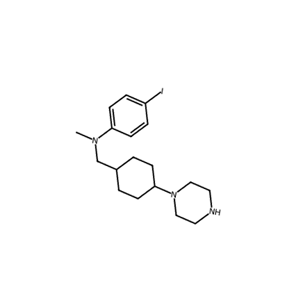 CN(CC1CCC(N2CCNCC2)CC1)c1ccc(I)cc1